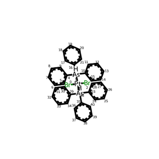 [Br][Pt]([Br])([AsH](c1ccccc1)(c1ccccc1)c1ccccc1)[AsH](c1ccccc1)(c1ccccc1)c1ccccc1